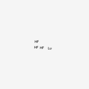 F.F.F.[Lu]